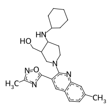 Cc1ccc2cc(-c3nc(C)no3)c(N3CCC(NC4CCCCC4)C(CO)C3)nc2c1